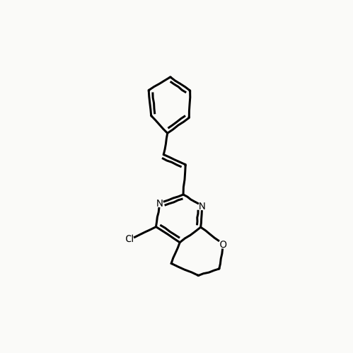 Clc1nc(/C=C/c2ccccc2)nc2c1CCCO2